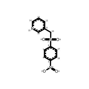 O=[N+]([O-])c1ccc(S(=O)(=O)Cc2cccnc2)cc1